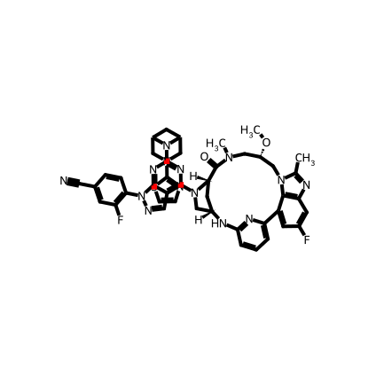 CO[C@H]1CN(C)C(=O)[C@@H]2C[C@@H](CN2c2nc(N3C4CC3CN(c3nccs3)C4)nc3c2cnn3-c2ccc(C#N)cc2F)Nc2cccc(n2)-c2cc(F)cc3nc(C)n(c23)C1